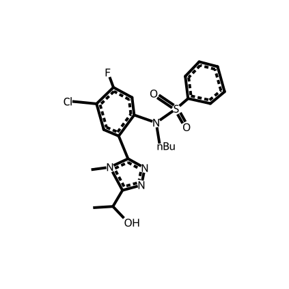 CCCCN(c1cc(F)c(Cl)cc1-c1nnc(C(C)O)n1C)S(=O)(=O)c1ccccc1